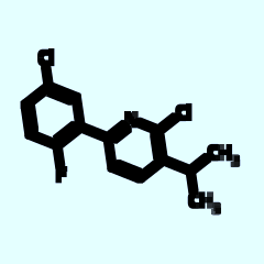 CC(C)c1ccc(-c2cc(Cl)ccc2F)nc1Cl